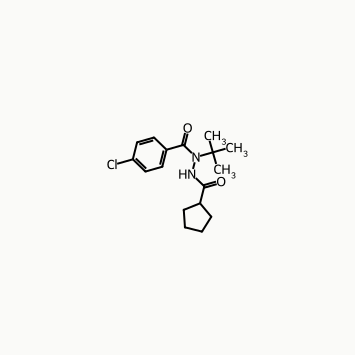 CC(C)(C)N(NC(=O)C1CCCC1)C(=O)c1ccc(Cl)cc1